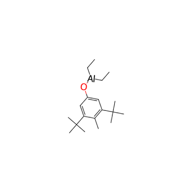 C[CH2][Al]([CH2]C)[O]c1cc(C(C)(C)C)c(C)c(C(C)(C)C)c1